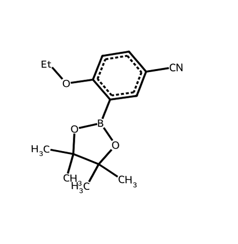 CCOc1ccc(C#N)cc1B1OC(C)(C)C(C)(C)O1